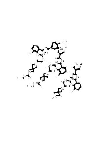 COc1ccc(-c2nc3c4cccc(Br)c4nc(N[C@H](C)C(=O)N4CC5(CN(C(=O)OC(C)(C)C)C5)C4)n3n2)cc1.C[C@@H](Nc1nc2c(Br)cccc2c2nc(-c3cnn(C)c3)nn12)C(=O)N1CC2(CN(C(=O)OC(C)(C)C)C2)C1.C[C@@H](Nc1nc2c(Br)cccc2c2nc(-c3cnn(C)c3)nn12)C(=O)N1CC2(CN(C)C2)C1